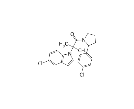 CC(C)(C(=O)N1CCCC1c1ccc(Cl)cc1)n1ccc2cc(Cl)ccc21